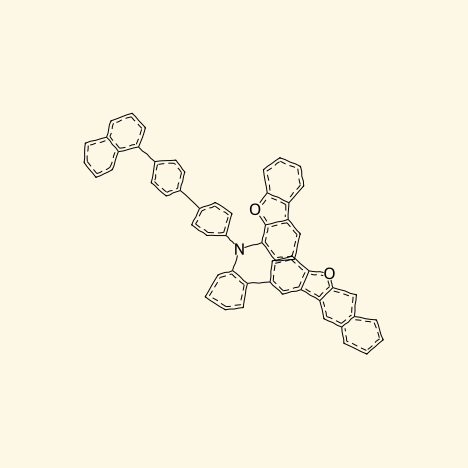 c1ccc(N(c2ccc(-c3ccc(-c4cccc5ccccc45)cc3)cc2)c2cccc3c2oc2ccccc23)c(-c2ccc3oc4cc5ccccc5cc4c3c2)c1